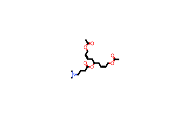 CC(=O)OC/C=C\CC(C/C=C\COC(C)=O)OC(=O)CCCN(C)C